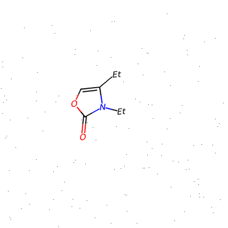 CCc1coc(=O)n1CC